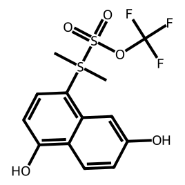 CS(C)(c1ccc(O)c2ccc(O)cc12)S(=O)(=O)OC(F)(F)F